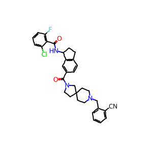 N#Cc1ccccc1CN1CCC2(CC1)CCN(C(=O)c1ccc3c(c1)C(NC(=O)c1c(F)cccc1Cl)CC3)C2